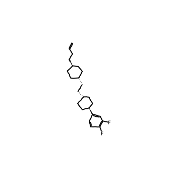 C=CCC[C@H]1CC[C@H](CC[C@H]2CC[C@H](c3ccc(F)c(F)c3)CC2)CC1